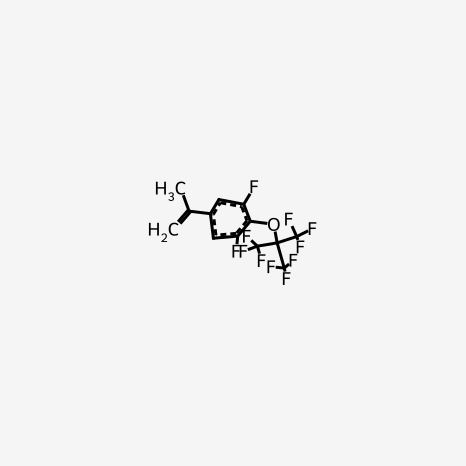 C=C(C)c1cc(F)c(OC(C(F)(F)F)(C(F)(F)F)C(F)(F)F)c(F)c1